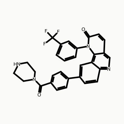 O=C(c1ccc(-c2ccc3ncc4ccc(=O)n(-c5cccc(C(F)(F)F)c5)c4c3c2)cc1)N1CCNCC1